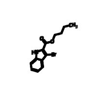 CCCCOC(=O)c1[nH]c2ccccc2c1Br